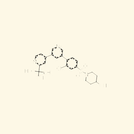 CC1CCN(S(=O)(=O)c2ccc(-c3cncc(-c4ccnc(C(C)(C)C)c4)c3)c(Cl)c2)CC1